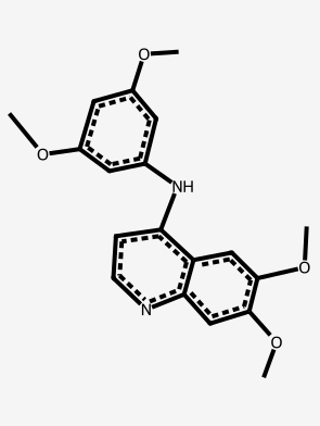 COc1cc(Nc2ccnc3cc(OC)c(OC)cc23)cc(OC)c1